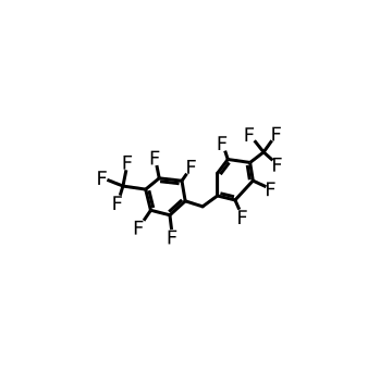 Fc1cc(Cc2c(F)c(F)c(C(F)(F)F)c(F)c2F)c(F)c(F)c1C(F)(F)F